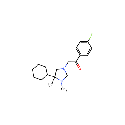 CN1CN(CC(=O)c2ccc(F)cc2)CC1(C)C1CCCCC1